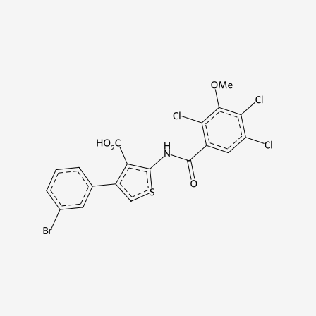 COc1c(Cl)c(Cl)cc(C(=O)Nc2scc(-c3cccc(Br)c3)c2C(=O)O)c1Cl